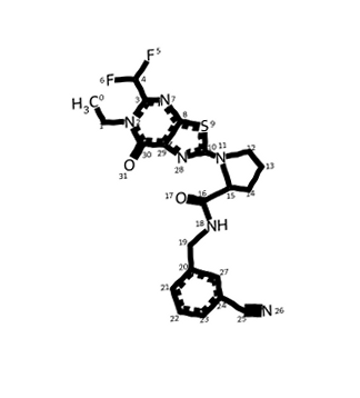 CCn1c(C(F)F)nc2sc(N3CCCC3C(=O)NCc3cccc(C#N)c3)nc2c1=O